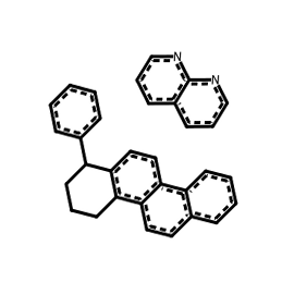 c1ccc(C2CCCc3c2ccc2c3ccc3ccccc32)cc1.c1cnc2ncccc2c1